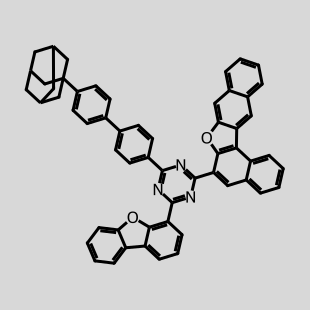 c1ccc2cc3c(cc2c1)oc1c(-c2nc(-c4ccc(-c5ccc(C67CC8CC(CC(C8)C6)C7)cc5)cc4)nc(-c4cccc5c4oc4ccccc45)n2)cc2ccccc2c13